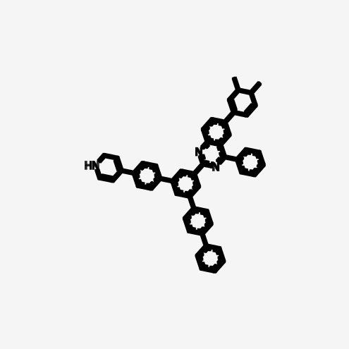 CC1C=CC(c2ccc3nc(-c4cc(-c5ccc(C6=CCNC=C6)cc5)cc(-c5ccc(-c6ccccc6)cc5)c4)nc(-c4ccccc4)c3c2)=CC1C